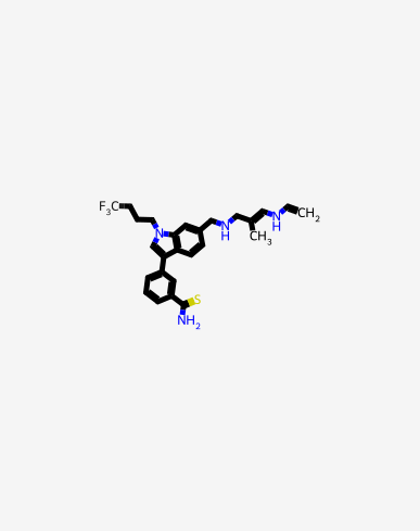 C=CN/C=C(\C)CNCc1ccc2c(-c3cccc(C(N)=S)c3)cn(CCCC(F)(F)F)c2c1